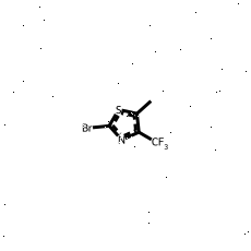 Cc1sc(Br)nc1C(F)(F)F